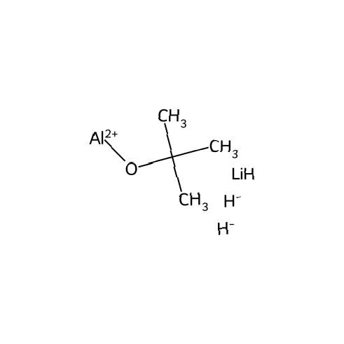 CC(C)(C)[O][Al+2].[H-].[H-].[LiH]